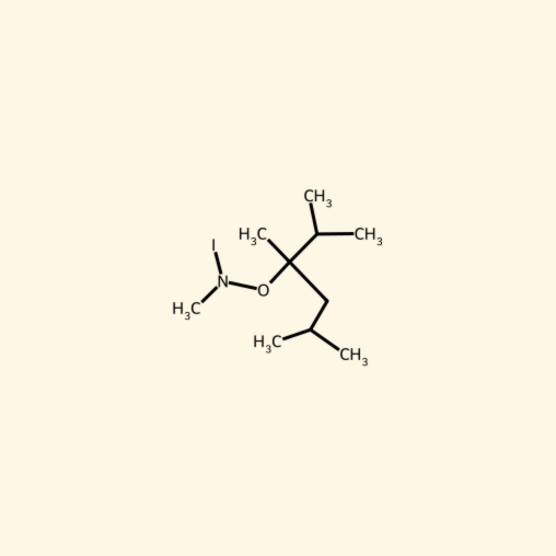 CC(C)CC(C)(ON(C)I)C(C)C